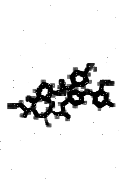 COc1cc(C)ccc1Oc1ccc(CN(C)C[C@H]2Oc3c(NC(=O)Cc4ccc(C(F)(F)F)cc4)cccc3C(=O)N(C(C)CO)C[C@H]2C)cc1